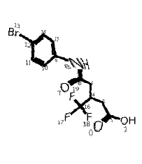 O=C(O)CC(CC(=O)Nc1ccc(Br)cc1)C(F)(F)F